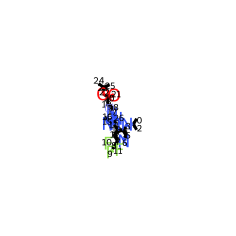 CC(C)Nc1cnc(C(F)(F)F)cc1-c1ncn(/C=C/C(=O)OC(C)C)n1